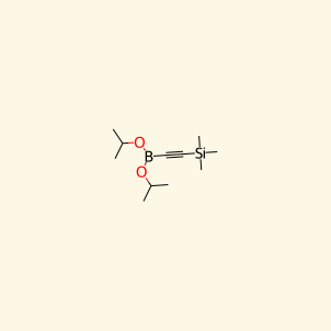 CC(C)OB(C#C[Si](C)(C)C)OC(C)C